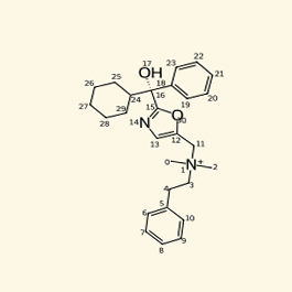 C[N+](C)(CCc1ccccc1)Cc1cnc([C@](O)(c2ccccc2)C2CCCCC2)o1